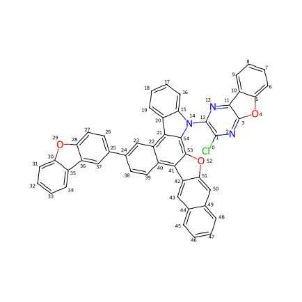 Clc1nc2oc3ccccc3c2nc1-n1c2ccccc2c2c3cc(-c4ccc5oc6ccccc6c5c4)ccc3c3c4cc5ccccc5cc4oc3c21